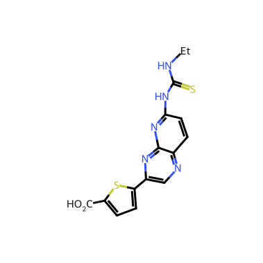 CCNC(=S)Nc1ccc2ncc(-c3ccc(C(=O)O)s3)nc2n1